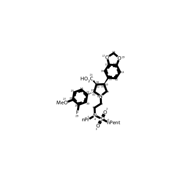 CCCCCS(=O)(=O)N(CCC)CCN1C[C@H](c2ccc3c(c2)OCO3)[C@H](C(=O)O)[C@H]1c1ccc(OC)c(F)c1